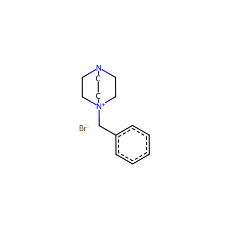 [Br-].c1ccc(C[N+]23CCN(CC2)CC3)cc1